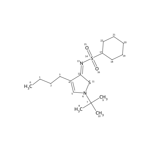 CCCCc1cn(C(C)(C)C)sc1=NS(=O)(=O)C1CCCCC1